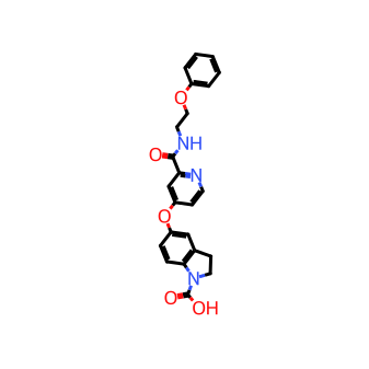 O=C(NCCOc1ccccc1)c1cc(Oc2ccc3c(c2)CCN3C(=O)O)ccn1